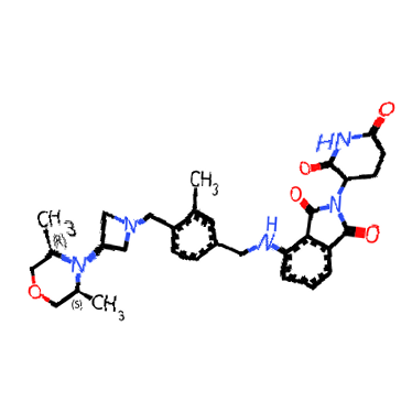 Cc1cc(CNc2cccc3c2C(=O)N(C2CCC(=O)NC2=O)C3=O)ccc1CN1CC(N2[C@H](C)COC[C@@H]2C)C1